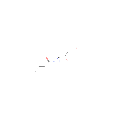 [CH2]CCOCC(O)CNC(=O)C=CC